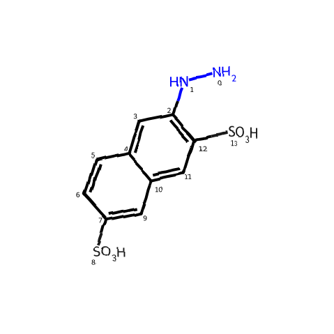 NNc1cc2ccc(S(=O)(=O)O)cc2cc1S(=O)(=O)O